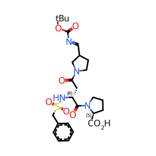 CC(C)(C)OC(=O)N=CC1CCN(C(=O)C[C@@H](NS(=O)(=O)Cc2ccccc2)C(=O)N2CCC[C@H]2C(=O)O)C1